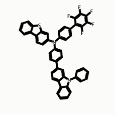 Fc1c(F)c(F)c(-c2ccc(N(c3ccc(-c4ccc5c6ccccc6n(-c6ccccc6)c5c4)cc3)c3ccc4c(c3)sc3ccccc34)cc2)c(F)c1F